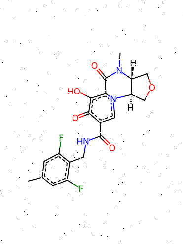 Cc1cc(F)c(CNC(=O)c2cn3c(c(O)c2=O)C(=O)N(C)[C@@H]2COC[C@H]23)c(F)c1